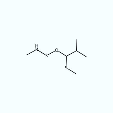 CBSOC(SC)C(C)C